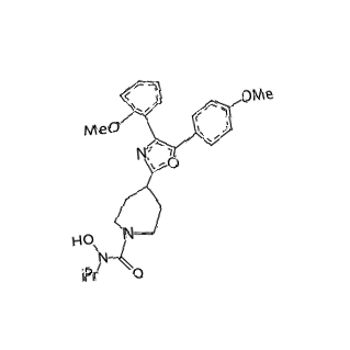 COc1ccc(-c2oc(C3CCN(C(=O)N(O)C(C)C)CC3)nc2-c2ccccc2OC)cc1